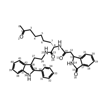 CC(=O)CCCCC[C@H](NC(=O)CC1NC(=O)c2ccccc21)C(=O)NCCc1c(-c2ccccc2)[nH]c2ccccc12